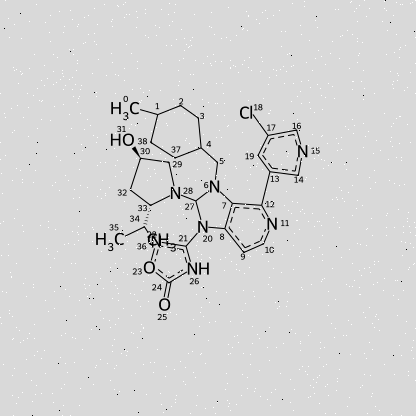 CC1CCC(CN2c3c(ccnc3-c3cncc(Cl)c3)N(c3noc(=O)[nH]3)C2N2C[C@H](O)C[C@H]2C(C)C)CC1